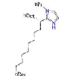 CCCCCCCCCCCCCCCCCC[C@H](CCCCCCCC)c1[nH]cc[n+]1CCC